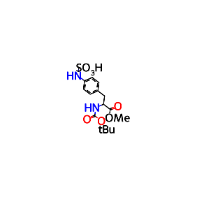 COC(=O)C(Cc1ccc(NS(=O)(=O)O)cc1)NC(=O)OC(C)(C)C